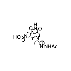 C=C/C(=N\C(=C(C)C)c1c(C=C)c(=O)[nH]c(=O)n1C1CCN(C(=O)CO)CC1)c1cnc(NC(C)=O)nc1